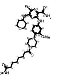 CCc1nc(C(N)=O)c(Nc2ccc(N3CCN(C(=O)CCCCCCC(=O)NO)CC3)c(OC)c2)nc1NC1CCOCC1